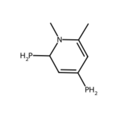 CC1=CC(P)=CC(P)N1C